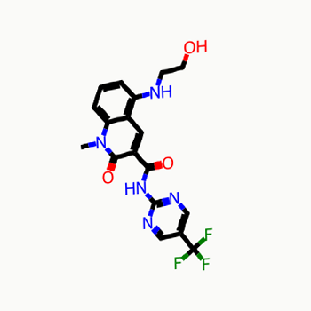 Cn1c(=O)c(C(=O)Nc2ncc(C(F)(F)F)cn2)cc2c(NCCO)cccc21